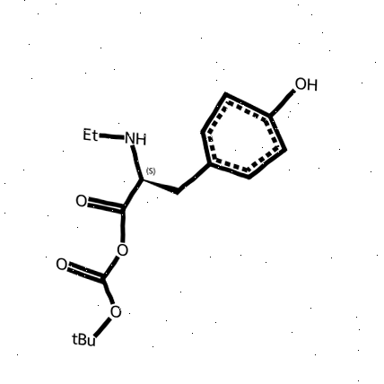 CCN[C@@H](Cc1ccc(O)cc1)C(=O)OC(=O)OC(C)(C)C